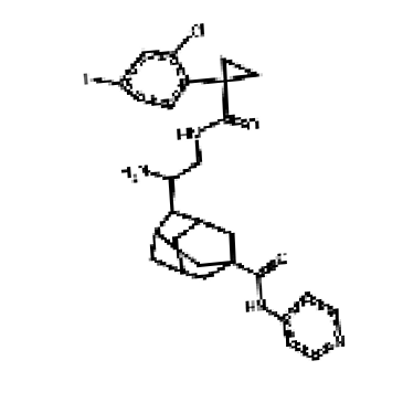 NC(CNC(=O)C1(c2ccc(F)cc2Cl)CC1)C1C2CC3CC1CC(C(=O)Nc1ccncc1)(C3)C2